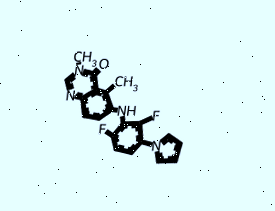 Cc1c(Nc2c(F)ccc(-n3cccc3)c2F)ccc2ncn(C)c(=O)c12